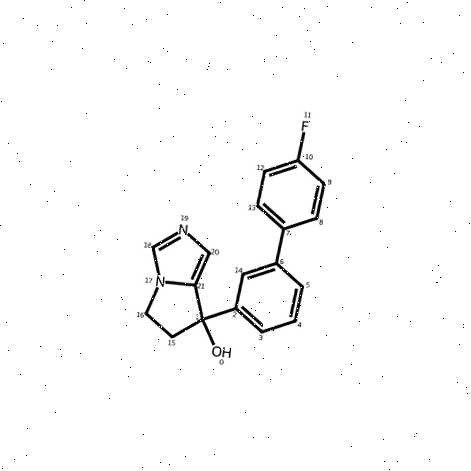 OC1(c2cccc(-c3ccc(F)cc3)c2)CCn2cncc21